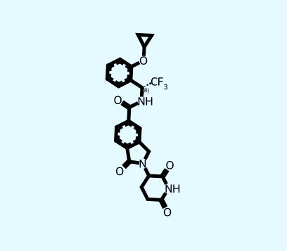 O=C1CCC(N2Cc3cc(C(=O)N[C@H](c4ccccc4OC4CC4)C(F)(F)F)ccc3C2=O)C(=O)N1